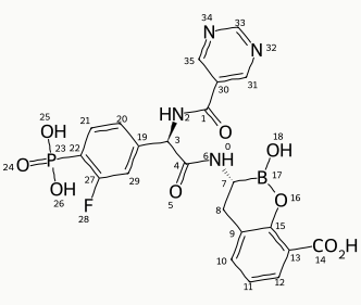 O=C(N[C@@H](C(=O)N[C@H]1Cc2cccc(C(=O)O)c2OB1O)c1ccc(P(=O)(O)O)c(F)c1)c1cncnc1